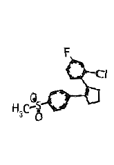 CS(=O)(=O)c1ccc(C2=C(c3ccc(F)cc3Cl)CCC2)cc1